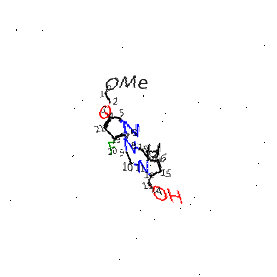 COCCOc1cnc(N2CCN3[C@H](CO)CC[C@@H]3C2)c(F)c1